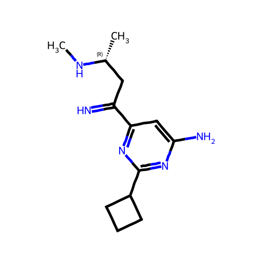 CN[C@H](C)CC(=N)c1cc(N)nc(C2CCC2)n1